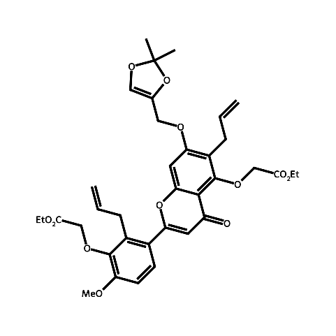 C=CCc1c(-c2cc(=O)c3c(OCC(=O)OCC)c(CC=C)c(OCC4=COC(C)(C)O4)cc3o2)ccc(OC)c1OCC(=O)OCC